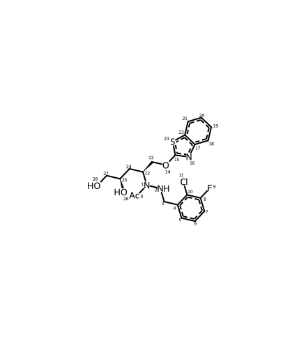 CC(=O)N(NCc1cccc(F)c1Cl)[C@H](COc1nc2ccccc2s1)C[C@@H](O)CO